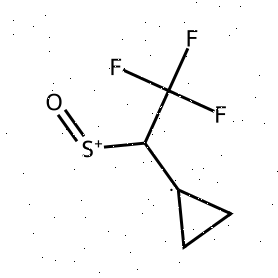 O=[S+]C([C]1CC1)C(F)(F)F